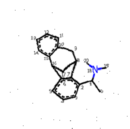 CC(c1cccc2c1C1Cc3ccccc3C2C1)N(C)C